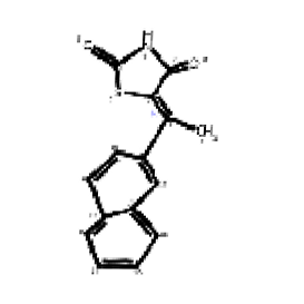 C/C(=C1/SC(=O)NC1=O)c1ccc2ccccc2c1